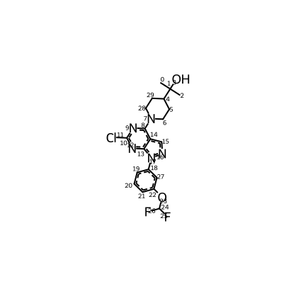 CC(C)(O)C1CCN(c2nc(Cl)nc3c2cnn3-c2cccc(OC(F)F)c2)CC1